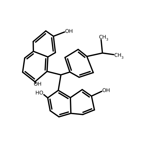 CC(C)c1ccc(C(c2c(O)ccc3ccc(O)cc23)c2c(O)ccc3ccc(O)cc23)cc1